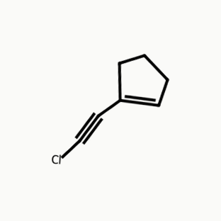 ClC#CC1=CCCC1